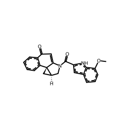 COc1cccc2cc(C(=O)N3C[C@H]4C[C@@]45C3=CC(=O)c3ccccc35)[nH]c12